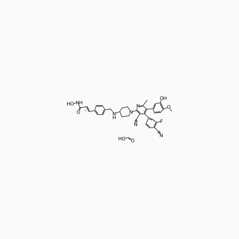 COc1ccc(-c2c(C)nc(N3CCC(NCc4ccc(/C=C/C(=O)NO)cc4)CC3)c(C#N)c2-c2ccc(C#N)c(F)c2)cc1O.O=CO